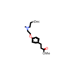 CCCCCCCCCCCCN(C)CCOc1ccc(CCC(=O)OC)cc1